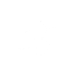 CC(F)c1cccc(O)c1O